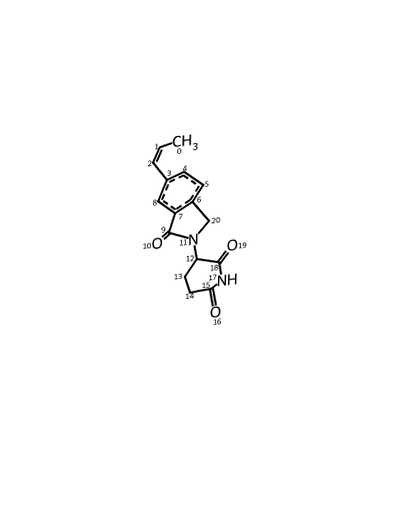 C/C=C\c1ccc2c(c1)C(=O)N(C1CCC(=O)NC1=O)C2